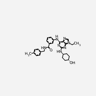 CCn1cnc2c(Nc3cccc(C(=O)NCc4ccc(C)cc4)c3)nc(N[C@H]3CC[C@H](O)CC3)nc21